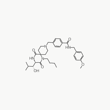 CCCCN1C(=O)[C@@H]([C@H](O)C(C)C)NC(=O)C12CCN(Cc1ccc(C(=O)NCc3ccc(OC)cc3)cc1)CC2